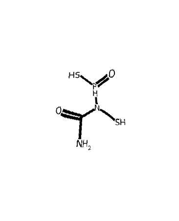 NC(=O)N(S)[PH](=O)S